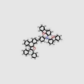 c1ccc(-c2oc3c4cc(-c5ccc(N(c6cccc7c6oc6ccccc67)c6cccc7c6oc6ccccc67)cc5)ccc4c4ccccc4c3c2-c2ccccc2)cc1